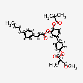 C=C(C)C(=O)Oc1ccc(-c2ccc(OC(=O)C(=C)COC)cc2)cc1OC(=O)/C=C/c1ccc(CCCC)cc1